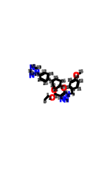 CCOC(=O)c1nnn(Cc2ccc(OC)cc2)c1O[C@H]1CC[C@H](c2ccc(-n3cncn3)cc2)CC1